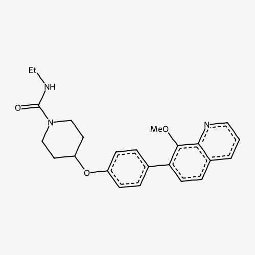 CCNC(=O)N1CCC(Oc2ccc(-c3ccc4cccnc4c3OC)cc2)CC1